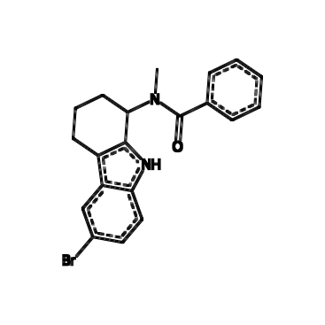 CN(C(=O)c1ccccc1)C1CCCc2c1[nH]c1ccc(Br)cc21